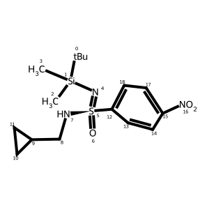 CC(C)(C)[Si](C)(C)N=[S@](=O)(NCC1CC1)c1ccc([N+](=O)[O-])cc1